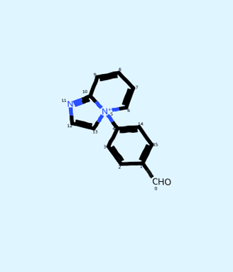 O=Cc1ccc([N+]23C=CC=CC2=NC=C3)cc1